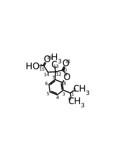 CC(C)c1cccc2c1OC(=O)C2(C)CC(=O)O